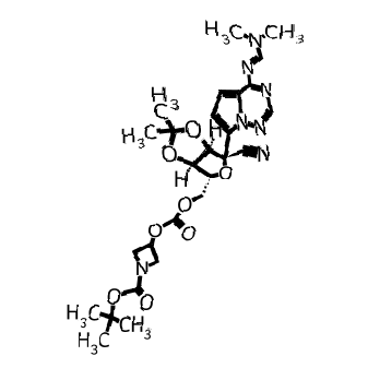 CN(C)C=Nc1ncnn2c([C@]3(C#N)O[C@H](COC(=O)OC4CN(C(=O)OC(C)(C)C)C4)[C@H]4OC(C)(C)O[C@H]43)ccc12